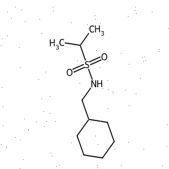 CC(C)S(=O)(=O)NCC1CCCCC1